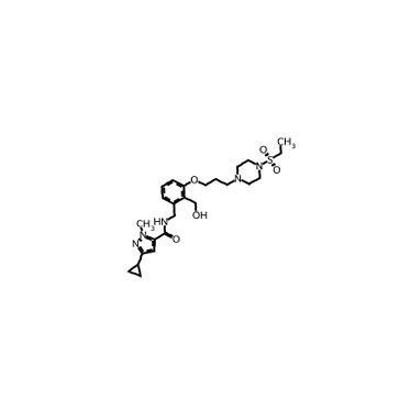 CCS(=O)(=O)N1CCN(CCCOc2cccc(CNC(=O)c3cc(C4CC4)nn3C)c2CO)CC1